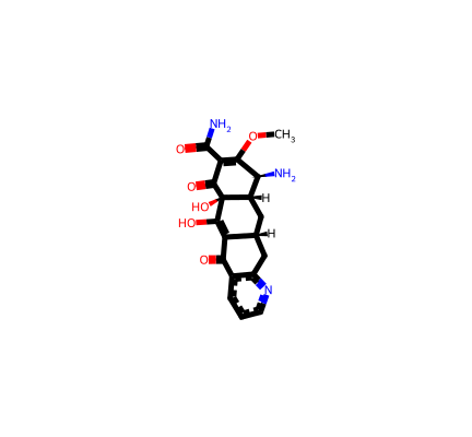 COC1=C(C(N)=O)C(=O)[C@@]2(O)C(O)=C3C(=O)c4cccnc4C[C@H]3C[C@H]2[C@@H]1N